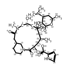 C[C@H]1CN(C)C(=O)CC2CCCN(C2)C(=O)[C@H](C)[C@@H](OC(=O)c2ccc[nH]2)[C@H](C)[C@@H](O[C@@H]2O[C@H](C)C[C@H](N(C)C)[C@H]2O)[C@](C)(O)C1